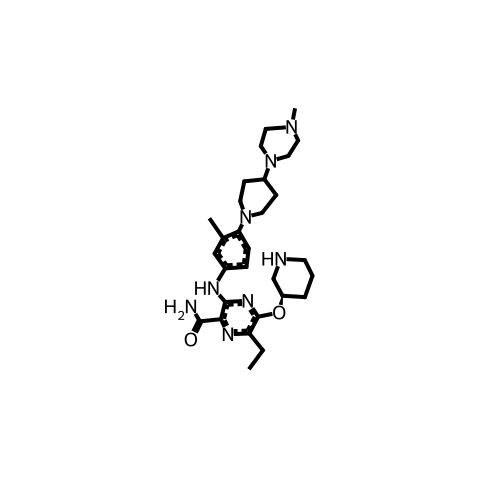 CCc1nc(C(N)=O)c(Nc2ccc(N3CCC(N4CCN(C)CC4)CC3)c(C)c2)nc1O[C@@H]1CCCNC1